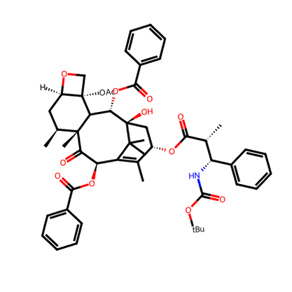 CC(=O)O[C@@]12CO[C@@H]1C[C@H](C)[C@@]1(C)C(=O)[C@H](OC(=O)c3ccccc3)C3=C(C)[C@@H](OC(=O)[C@H](C)[C@@H](NC(=O)OC(C)(C)C)c4ccccc4)C[C@@](O)([C@@H](OC(=O)c4ccccc4)C12)C3(C)C